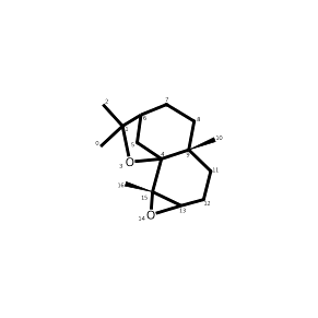 CC1(C)OC23CC1CC[C@]2(C)CCC1O[C@@]13C